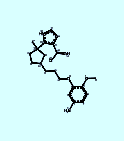 COc1ccc(N)cc1OCCCN1CCC(C)(c2[nH]ccc2C(=N)Cl)C1